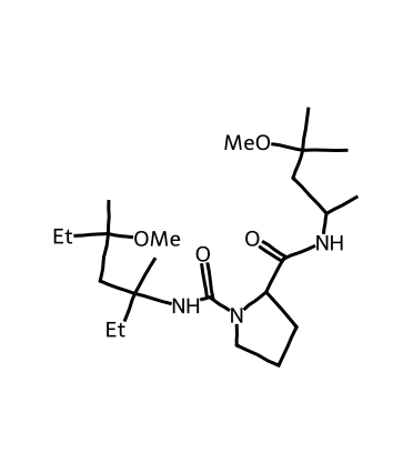 CCC(C)(CC(C)(CC)OC)NC(=O)N1CCCC1C(=O)NC(C)CC(C)(C)OC